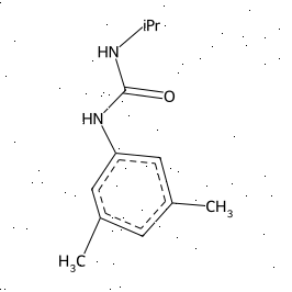 Cc1cc(C)cc(NC(=O)NC(C)C)c1